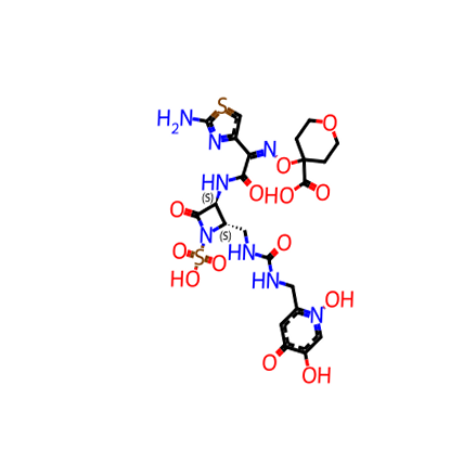 Nc1nc(C(=NOC2(C(=O)O)CCOCC2)C(=O)N[C@@H]2C(=O)N(S(=O)(=O)O)[C@H]2CNC(=O)NCc2cc(=O)c(O)cn2O)cs1